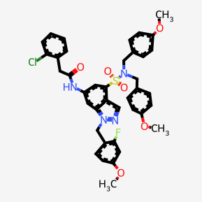 COc1ccc(CN(Cc2ccc(OC)cc2)S(=O)(=O)c2cc(NC(=O)Cc3ccccc3Cl)cc3c2cnn3Cc2ccc(OC)cc2F)cc1